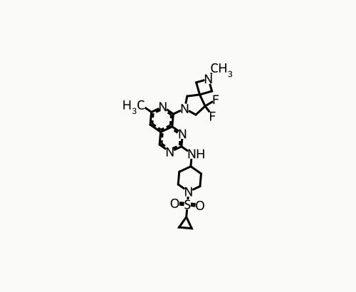 Cc1cc2cnc(NC3CCN(S(=O)(=O)C4CC4)CC3)nc2c(N2CC(F)(F)C3(CN(C)C3)C2)n1